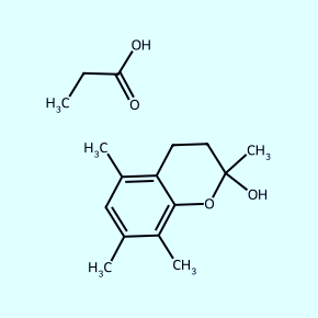 CCC(=O)O.Cc1cc(C)c2c(c1C)OC(C)(O)CC2